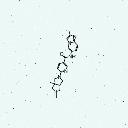 Cc1cn2cc(NC(=O)c3ccc(N4CC5CNCC5(C)C4)nc3)ccc2n1